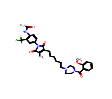 COc1ccccc1C(=O)N1CCN(CCCCCCC2=C(C)C(=O)N(c3ccc(NC(C)=O)c(C(F)(F)F)c3)C2=O)CC1